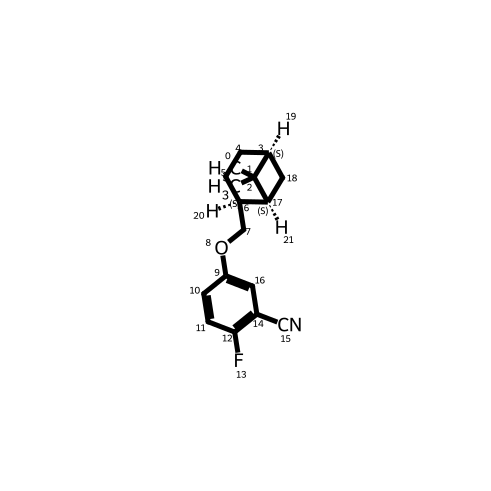 CC1(C)[C@H]2CC[C@H](COc3ccc(F)c(C#N)c3)[C@@H]1C2